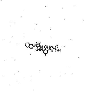 CC1=NN(c2ccc3c(c2)CCCC3)C(=O)C1=NNc1cc(C)cc(-c2ccc(C(=O)O)s2)c1O